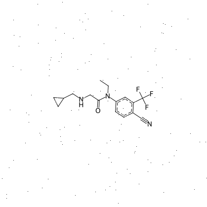 CCN(C(=O)CNCC1CC1)c1ccc(C#N)c(C(F)(F)F)c1